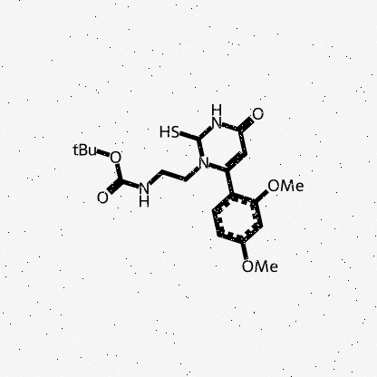 COc1ccc(C2=CC(=O)NC(S)N2CCNC(=O)OC(C)(C)C)c(OC)c1